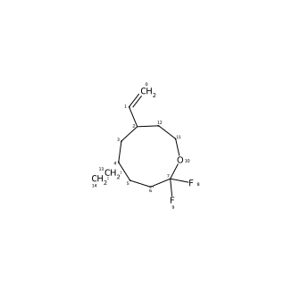 C=CC1CCC[CH]C(F)(F)OCC1.[CH2].[CH2]